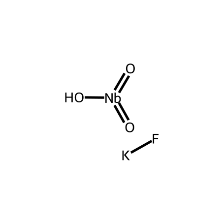 [F][K].[O]=[Nb](=[O])[OH]